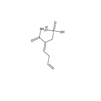 C=CCC=C(CP(=O)(O)O)C(N)=O